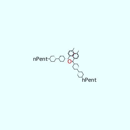 CCCCC[C@H]1CC[C@H]([C@H]2CC[C@H](C(OC(c3ccc(C)cc3)[C@H]3CC[C@H]([C@H]4CC[C@H](CCCCC)CC4)CC3)c3ccc(C)cc3)CC2)CC1